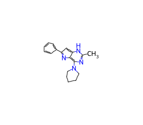 Cc1nc(N2CCCCC2)c2nc(-c3ccccc3)cc-2[nH]1